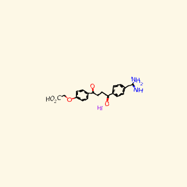 I.N=C(N)c1ccc(C(=O)CCC(=O)c2ccc(OCC(=O)O)cc2)cc1